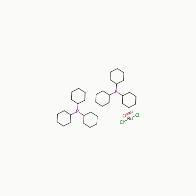 C1CCC(P(C2CCCCC2)C2CCCCC2)CC1.C1CCC(P(C2CCCCC2)C2CCCCC2)CC1.[C]=O.[Cl][Ru][Cl]